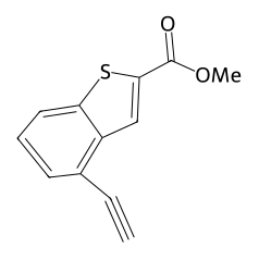 C#Cc1cccc2sc(C(=O)OC)cc12